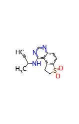 C#CC(C)Nc1ncnc2ccc3c(c12)CCS3(=O)=O